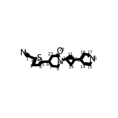 N#Cc1ccc(C2CCN(C34CC(c5ccncc5)(C3)C4)C(=O)C2)s1